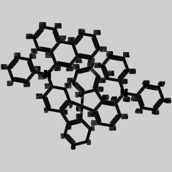 C1=CC2=C(CC1)C1(C3=C2C=CC(N(c2ccccc2)c2cc4ccccc4c4ccccc24)C3)c2ccccc2-c2c(N(c3ccccc3)c3ccccc3)cccc21